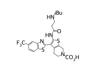 CCC(C)NCCC(=O)Nc1sc2c(c1-c1nc3cc(C(F)(F)F)ccc3s1)CCN(C(=O)O)C2